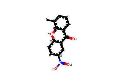 Cc1cccc2c(=O)c3cc([N+](=O)[O-])ccc3oc12